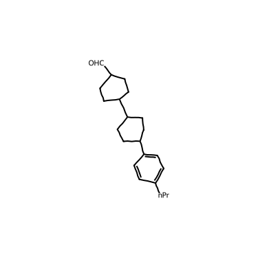 CCCc1ccc(C2CCC(C3CCC(C=O)CC3)CC2)cc1